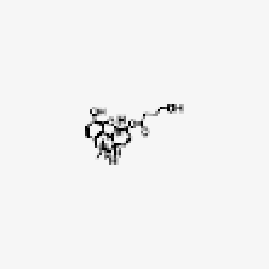 CN1CC[C@]23c4c5ccc(O)c4O[C@H]2[C@@H](OC(=O)CCCO)C=C[C@H]3[C@H]1C5